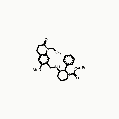 COc1cc2c(cc1CNC1CCCN(C(=O)OC(C)(C)C)C1c1ccccc1)N(CC(F)(F)F)C(=O)CC2